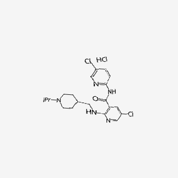 CC(C)N1CCC(CNc2ncc(Cl)cc2C(=O)Nc2ccc(Cl)cn2)CC1.Cl